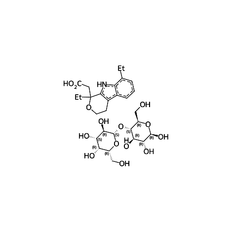 CCc1cccc2c3c([nH]c12)C(CC)(CC(=O)O)OCC3.OC[C@H]1O[C@@H](O[C@H]2[C@H](O)[C@@H](O)[C@H](O)O[C@@H]2CO)[C@H](O)[C@@H](O)[C@H]1O